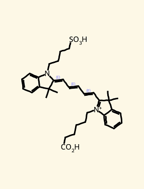 CC1(C)C(/C=C/C=C/C=C2/N(CCCCS(=O)(=O)O)c3ccccc3C2(C)C)=[N+](CCCCCC(=O)O)c2ccccc21